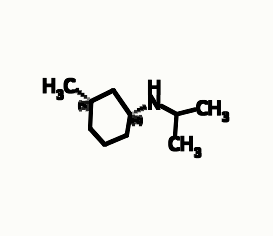 CC(C)N[C@@H]1CCC[C@H](C)C1